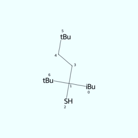 CCC(C)C(S)(CCC(C)(C)C)C(C)(C)C